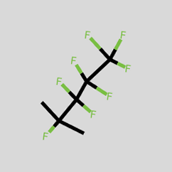 CC(C)(F)C(F)(F)C(F)(F)C(F)(F)F